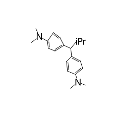 CC(C)C(c1ccc(N(C)C)cc1)c1ccc(N(C)C)cc1